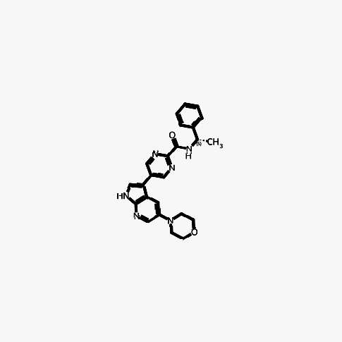 C[C@H](NC(=O)c1ncc(-c2c[nH]c3ncc(N4CCOCC4)cc23)cn1)c1ccccc1